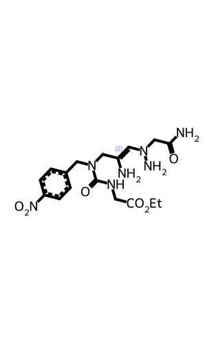 CCOC(=O)CNC(=O)N(C/C(N)=C/N(N)CC(N)=O)Cc1ccc([N+](=O)[O-])cc1